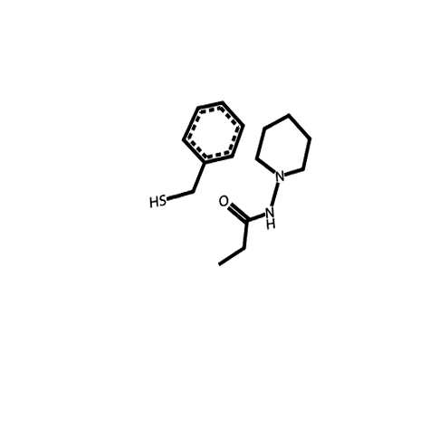 CCC(=O)NN1CCCCC1.SCc1ccccc1